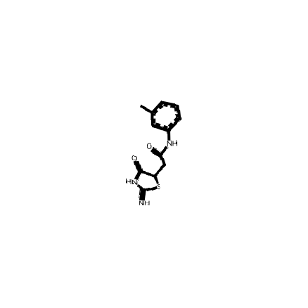 Cc1cccc(NC(=O)CC2SC(=N)NC2=O)c1